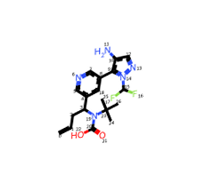 C=CCC(c1cncc(-c2c(N)cnn2C(F)F)c1)N(C(=O)O)C(C)(C)C